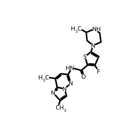 Cc1cn2nc(NC(=O)c3sc(N4CCNC(C)C4)cc3F)cc(C)c2n1